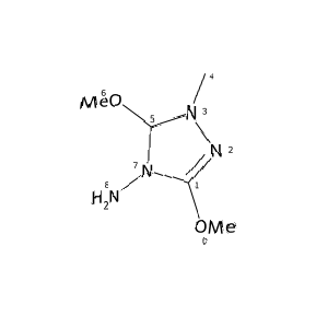 COC1=NN(C)C(OC)N1N